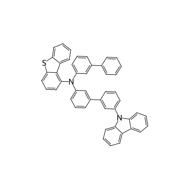 c1ccc(-c2cccc(N(c3cccc(-c4cccc(-n5c6ccccc6c6ccccc65)c4)c3)c3cccc4sc5ccccc5c34)c2)cc1